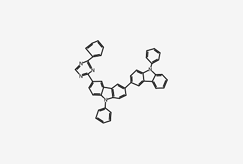 c1ccc(-c2ncnc(-c3ccc4c(c3)c3cc(-c5ccc6c(c5)c5ccccc5n6-c5ccccc5)ccc3n4-c3ccccc3)n2)cc1